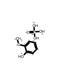 COc1ccccc1O.O=P(O)(O)O